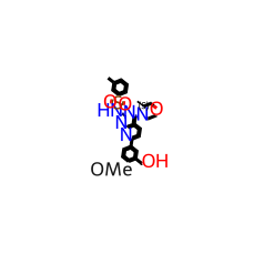 COc1ccc(-c2ccc3c(N4CCOC[C@@H]4C)nc(NS(=O)(=O)c4cccc(C)c4)nc3n2)cc1CO